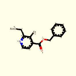 CCc1c(C(=O)OCc2ccccc2)ccnc1COC